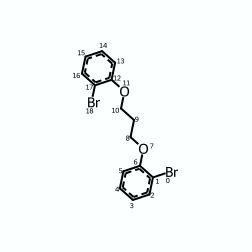 Brc1ccccc1OCCCOc1ccccc1Br